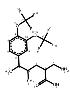 CC(CC(CN)C(=O)O)C(C)c1ccc(OC(F)(F)F)c(OC(F)(F)F)c1